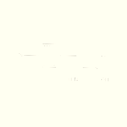 N[C@H](Cc1ccc(Br)cc1)C(=O)O